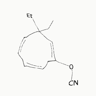 CCC1(C)C=CC=CC(OC#N)=C1